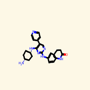 N[C@H]1CC[C@@H](Nc2nc(Nc3ccc4c(c3)CCC(=O)N4)ncc2-c2ccncc2)CC1